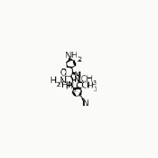 CC(C)(C)n1nc(-c2ccc(N)cc2)c(C(N)=O)c1Nc1ccc(C#N)cc1